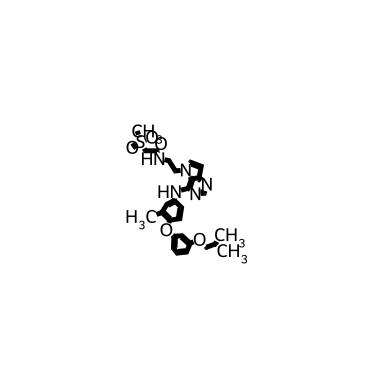 Cc1cc(Nc2ncnc3ccn(CCNC(=O)CS(C)(=O)=O)c23)ccc1Oc1cccc(OCC(C)C)c1